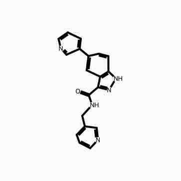 O=C(NCc1cccnc1)c1n[nH]c2ccc(-c3cccnc3)cc12